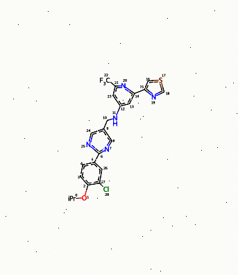 CC(C)Oc1ccc(-c2ncc(CNc3cc(-c4cscn4)nc(C(F)(F)F)c3)cn2)cc1Cl